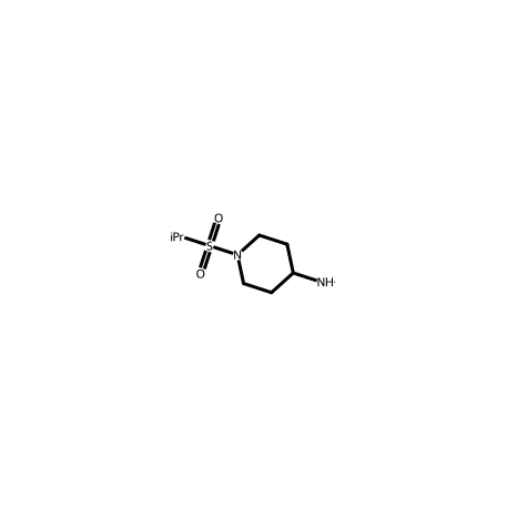 CC(C)S(=O)(=O)N1CCC([NH])CC1